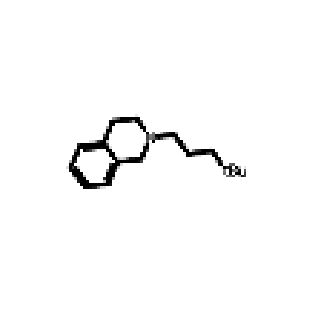 CC(C)(C)CCCN1CCc2ccccc2C1